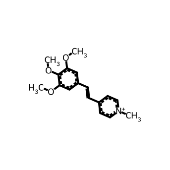 COc1cc(/C=C/c2cc[n+](C)cc2)cc(OC)c1OC